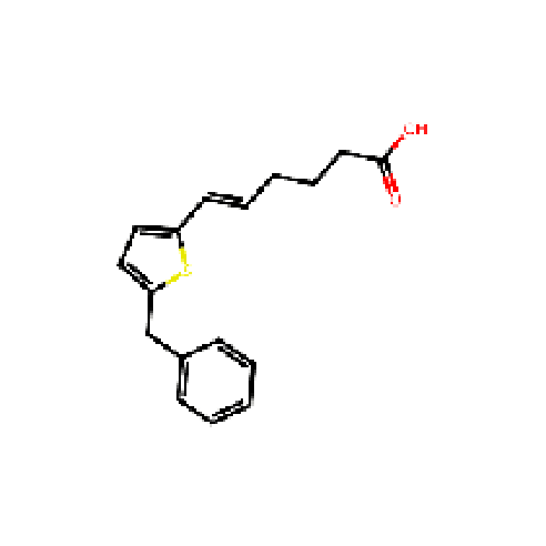 O=C(O)CCCC=Cc1ccc(Cc2ccccc2)s1